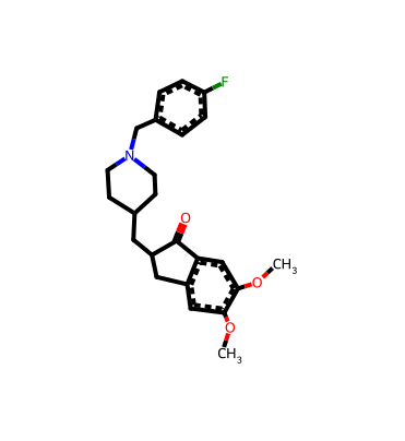 COc1cc2c(cc1OC)C(=O)C(CC1CCN(Cc3ccc(F)cc3)CC1)C2